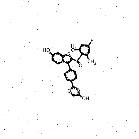 Cc1cc(F)cc(C)c1C(=O)c1sc2cc(O)ccc2c1-c1ccc(-c2nc(O)co2)cc1